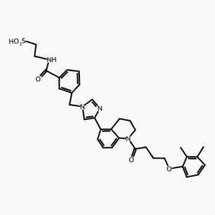 Cc1cccc(OCCCC(=O)N2CCCc3c(-c4cn(Cc5cccc(C(=O)NCCS(=O)(=O)O)c5)cn4)cccc32)c1C